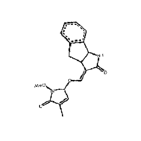 CON1C(=O)C(C)=CC1OC=C1C(=O)NC2c3ccccc3CC12